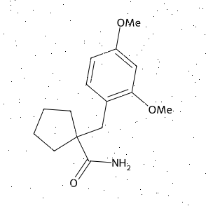 COc1ccc(CC2(C(N)=O)CCCC2)c(OC)c1